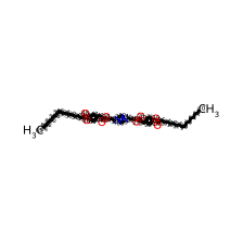 CCCCCCCC/C=C\CCCCCCCC(=O)Oc1ccc(CC(=O)OCCCN2CCN(CCCOC(=O)Cc3ccc(OC(=O)CCCCCCC/C=C\CCCCCCCC)cc3)CC2)cc1